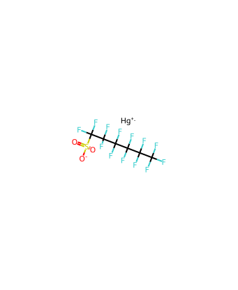 O=S(=O)([O-])C(F)(F)C(F)(F)C(F)(F)C(F)(F)C(F)(F)C(F)(F)F.[Hg+]